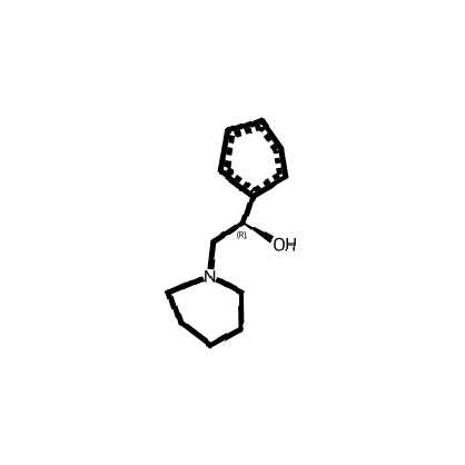 O[C@@H](CN1CCCCC1)c1ccccc1